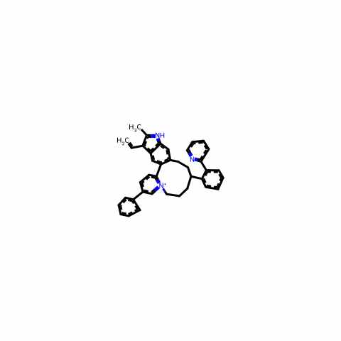 C=Cc1c(C)[nH]c2cc3c(cc12)-c1ccc(-c2ccccc2)c[n+]1CCCC(c1ccccc1-c1ccccn1)CC3